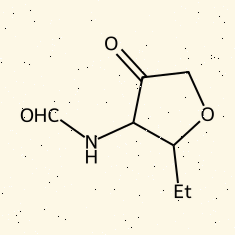 CCC1OCC(=O)C1NC=O